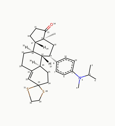 CC(C)N(C)c1ccc([C@H]2C[C@]3(C)C(=O)CC[C@H]3[C@@H]3CCC4=CC5(CC[C@@H]4[C@H]32)SCCS5)cc1